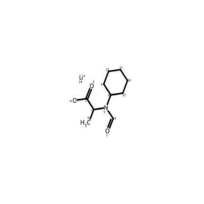 CC(C(=O)[O-])N(C=O)C1CCCCC1.[Li+]